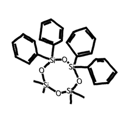 C[Si]1(C)O[Si](C)(C)O[Si](c2ccccc2)(c2ccccc2)O[Si](c2ccccc2)(c2ccccc2)O1